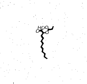 CCCCCCCCCCC(OC(=O)CC)C(=O)O